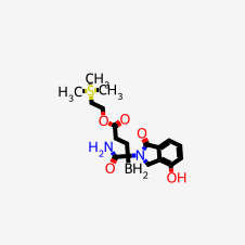 BC(CCC(=O)OCCS(C)(C)C)(C(N)=O)N1Cc2c(O)cccc2C1=O